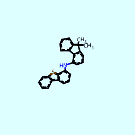 CC1(C)c2ccccc2-c2c(Nc3cccc4c3sc3ccccc34)cccc21